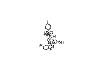 Cc1ccc(S(=O)(=O)NNC(=O)[C@@H]2C[C@@H](S)CN2S(=O)(=O)c2cc(F)ccc2F)cc1